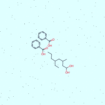 CCCC(CC)CC(C)CC(O)O.O=C(O)c1ccccc1.O=C(O)c1ccccc1